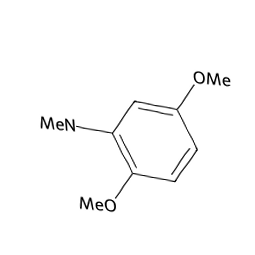 [CH2]Nc1cc(OC)ccc1OC